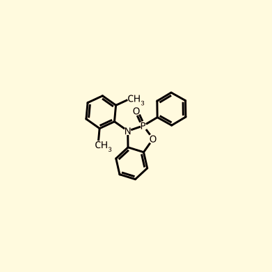 Cc1cccc(C)c1N1c2ccccc2OP1(=O)c1ccccc1